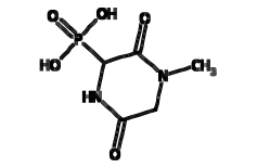 CN1CC(=O)NC(P(=O)(O)O)C1=O